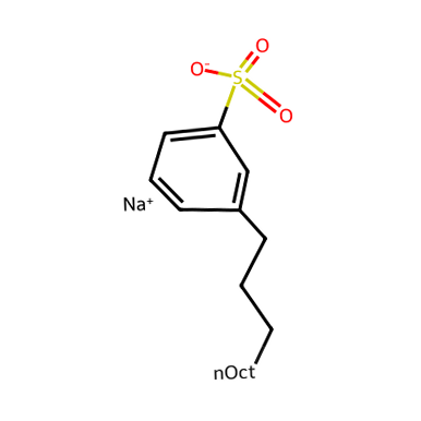 CCCCCCCCCCCc1cccc(S(=O)(=O)[O-])c1.[Na+]